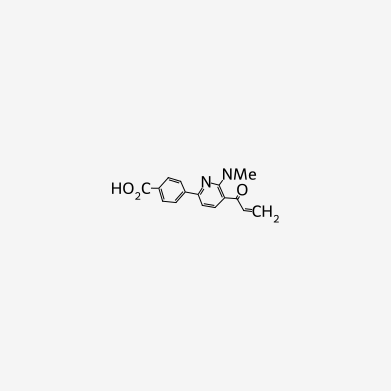 C=CC(=O)c1ccc(-c2ccc(C(=O)O)cc2)nc1NC